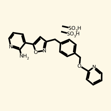 CS(=O)(=O)O.CS(=O)(=O)O.Nc1ncccc1-c1cc(Cc2ccc(COc3ccccn3)cc2)no1